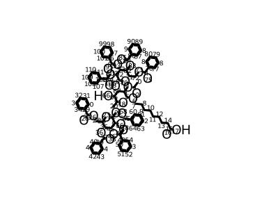 CC(=O)OC1C(OCCCCCCCCC(=O)O)OC(COC2OC(COC(=O)c3ccccc3)C(OC(=O)c3ccccc3)C(OC(=O)c3ccccc3)C2OC(=O)c2ccccc2)C(O)C1OC1OC(COC(=O)c2ccccc2)C(OC(=O)c2ccccc2)C(OC(=O)c2ccccc2)C1OC(=O)c1ccccc1